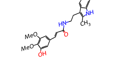 COc1cc(/C=C/C(=O)NCCc2c(C)[nH]c3ccccc23)cc(O)c1OC